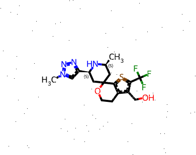 C[C@H]1CC2(C[C@@H](c3cn(C)nn3)N1)OCCc1c2sc(C(F)(F)F)c1CO